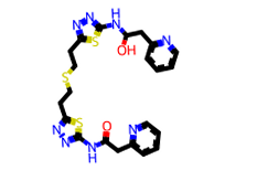 O=C(Cc1ccccn1)Nc1nnc(CCSCCc2nnc(NC(O)Cc3ccccn3)s2)s1